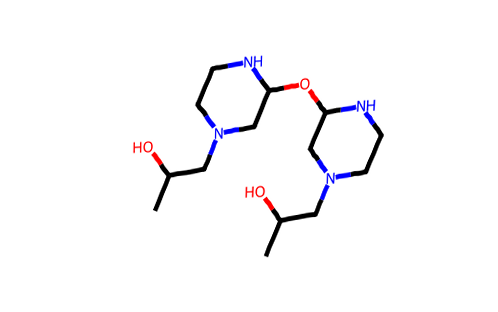 CC(O)CN1CCNC(OC2CN(CC(C)O)CCN2)C1